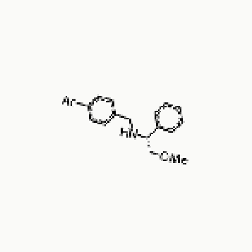 COC[C@H](NCc1ccc(C(C)=O)cc1)c1ccccc1